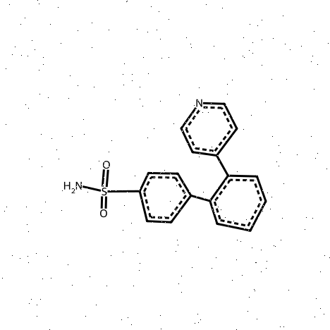 NS(=O)(=O)c1ccc(-c2ccccc2-c2ccncc2)cc1